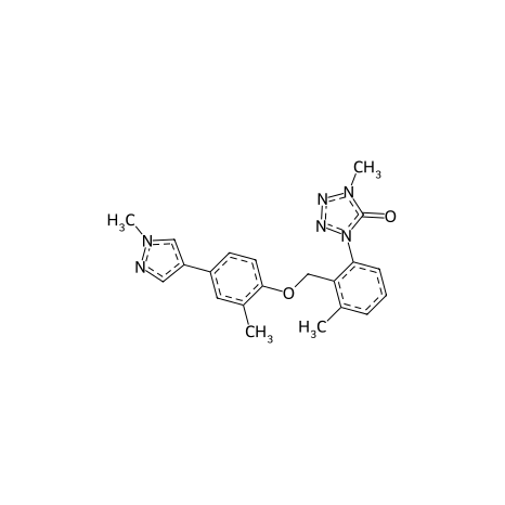 Cc1cc(-c2cnn(C)c2)ccc1OCc1c(C)cccc1-n1nnn(C)c1=O